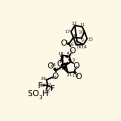 O=C1Oc2c(OC(=O)C34CC5CC(CC(C5)C3)C4)c3oc2c1c3C(=O)OCC(F)(F)S(=O)(=O)O